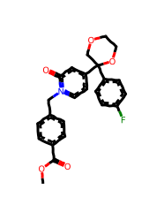 COC(=O)c1ccc(Cn2ccc(C3(c4ccc(F)cc4)COCCO3)cc2=O)cc1